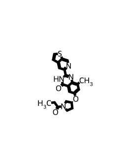 CCC(=O)N1CC[C@@H](Oc2cc(C)c3nc(-c4cc5ccsc5cn4)[nH]c(=O)c3c2)C1